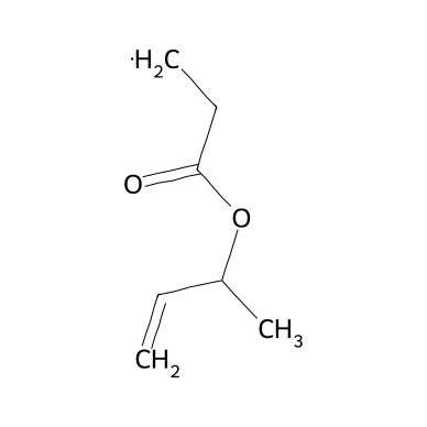 [CH2]CC(=O)OC(C)C=C